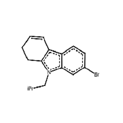 CC(C)Cn1c2c(c3ccc(Br)cc31)C=CCC2